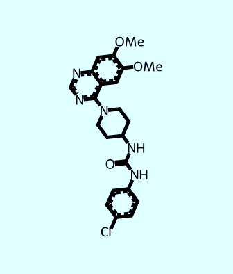 COc1cc2ncnc(N3CCC(NC(=O)Nc4ccc(Cl)cc4)CC3)c2cc1OC